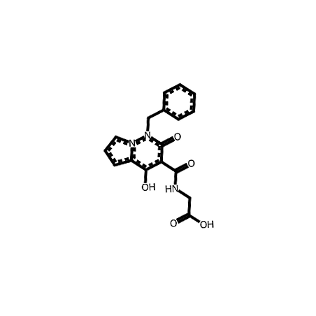 O=C(O)CNC(=O)c1c(O)c2cccn2n(Cc2ccccc2)c1=O